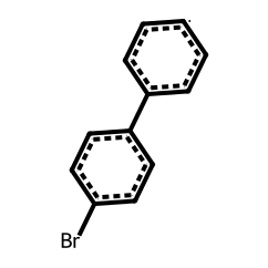 Brc1ccc(-c2cc[c]cc2)cc1